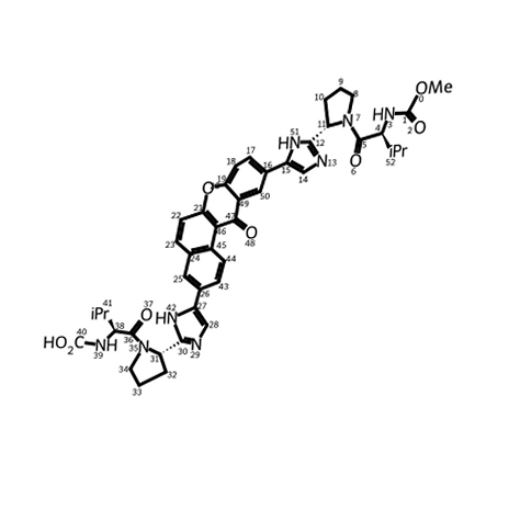 COC(=O)N[C@H](C(=O)N1CCC[C@H]1c1ncc(-c2ccc3oc4ccc5cc(-c6cnc([C@@H]7CCCN7C(=O)[C@@H](NC(=O)O)C(C)C)[nH]6)ccc5c4c(=O)c3c2)[nH]1)C(C)C